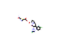 NC(=O)c1ncc(C(=O)COC(=O)[C@@H]2CCC3CC(c4c(-n5cc(Cl)nn5)ccc(Cl)c4F)=CC(=O)N32)s1